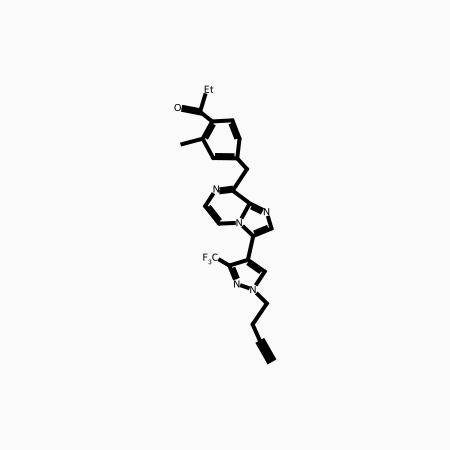 C#CCCn1cc(-c2cnc3c(Cc4ccc(C(=O)CC)c(C)c4)nccn23)c(C(F)(F)F)n1